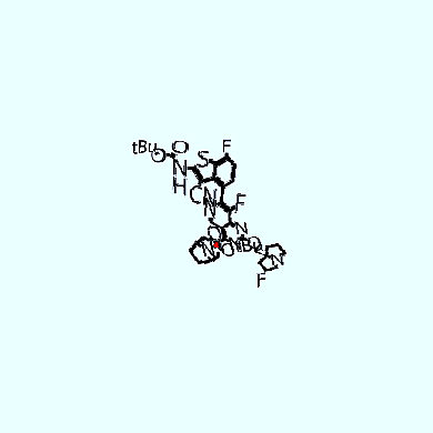 CC(C)(C)OC(=O)Nc1sc2c(F)ccc(-c3ncc4c(N5CC6CCC(C5)N6C(=O)OC(C)(C)C)nc(OC[C@@]56CCCN5C[C@H](F)C6)nc4c3F)c2c1C#N